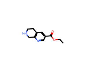 CCOC(=O)c1cnc2c(c1)CCNC2